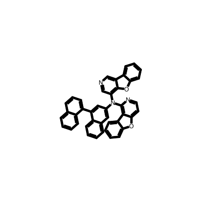 c1ccc2c(-c3cc(N(c4cncc5c4oc4ccccc45)c4nccc5oc6ccccc6c45)cc4ccccc34)cccc2c1